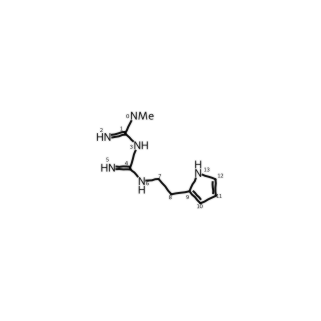 CNC(=N)NC(=N)NCCc1ccc[nH]1